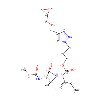 CC(=O)OCC1=CS[C@@H]2[C@H](NC(=O)OC(C)(C)C)C(=O)N2C1C(=O)OCCCn1cc(COCC2CO2)nn1